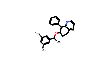 CC(OC1CCc2cccnc2C1c1ccccc1)c1cc(C(F)(F)F)cc(C(F)(F)F)c1